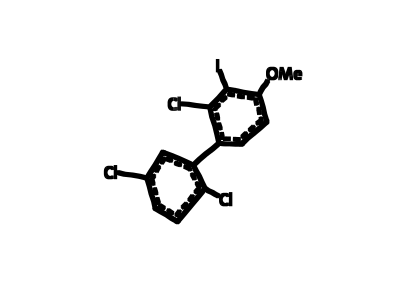 COc1ccc(-c2cc(Cl)ccc2Cl)c(Cl)c1I